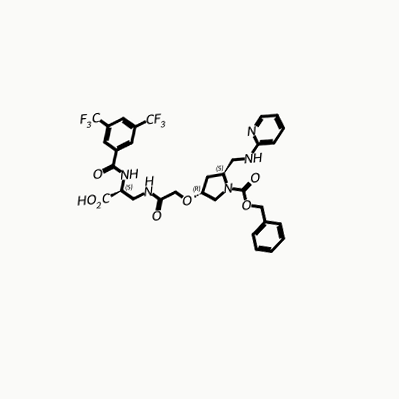 O=C(CO[C@@H]1C[C@@H](CNc2ccccn2)N(C(=O)OCc2ccccc2)C1)NC[C@H](NC(=O)c1cc(C(F)(F)F)cc(C(F)(F)F)c1)C(=O)O